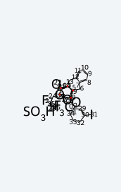 CC1(OC(=O)C2C3c4ccccc4C(c4ccccc43)C2C(=O)OCC(F)(F)S(=O)(=O)O)C=C(I)CCC1